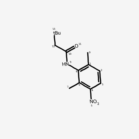 Cc1ccc([N+](=O)[O-])c(C)c1NC(=O)CC(C)(C)C